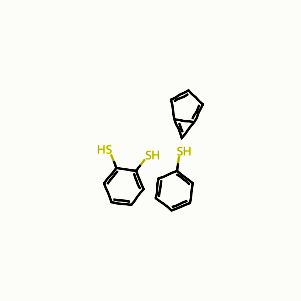 Sc1ccccc1.Sc1ccccc1S.c1cc2cc-2c1